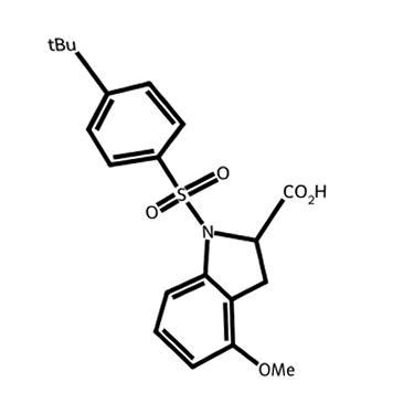 COc1cccc2c1CC(C(=O)O)N2S(=O)(=O)c1ccc(C(C)(C)C)cc1